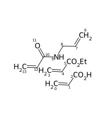 C=CC(=O)O.C=CC(=O)OCC.C=CCNC(=O)C=C